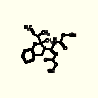 C=CC(C)C1(C)Oc2ccccc2CN1/C(=N\C(=O)OC(C)(C)C)NC(=O)OC(C)(C)C